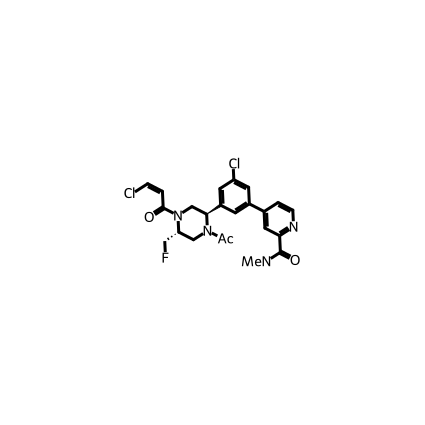 CNC(=O)c1cc(-c2cc(Cl)cc([C@@H]3CN(C(=O)/C=C\Cl)[C@@H](CF)CN3C(C)=O)c2)ccn1